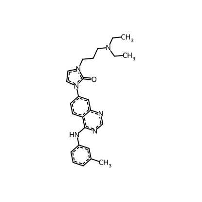 CCN(CC)CCCn1ccn(-c2ccc3c(Nc4cccc(C)c4)ncnc3c2)c1=O